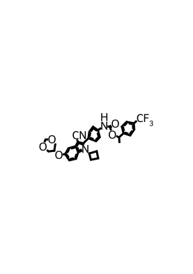 CC(OC(=O)Nc1ccc(-c2c(C#N)c3cc(OC4COCOC4)ccc3n2C2CCC2)cc1)c1ccc(C(F)(F)F)cc1